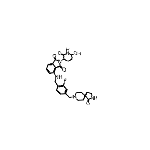 O=C1NC(O)CCC1N1C(=O)c2cccc(NCc3ccc(CN4CCC5(CCNC5=O)CC4)cc3F)c2C1=O